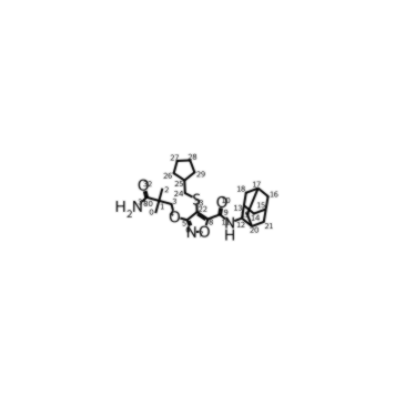 CC(C)(COc1noc(C(=O)NC2C3CC4CC(C3)CC2C4)c1SCC1CCCC1)C(N)=O